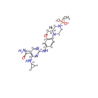 CS(=O)(=O)N1CCN2c3ccc(Nc4ncc(C(N)=O)c(NC5CC5)n4)cc3OC[C@H]2C1